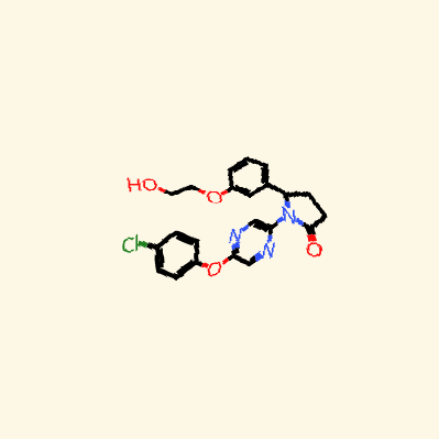 O=C1CCC(c2cccc(OCCO)c2)N1c1cnc(Oc2ccc(Cl)cc2)cn1